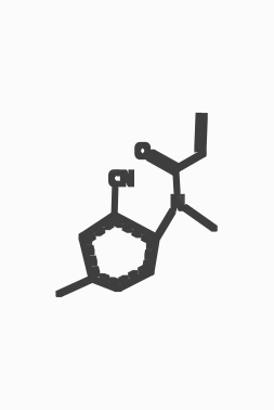 C=CC(=O)N(C)c1ccc(C)cc1C#N